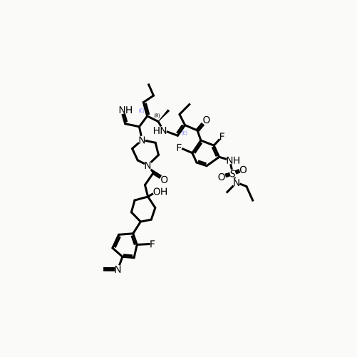 C=Nc1ccc(C2CCC(O)(CC(=O)N3CCN(C(C=N)/C(=C/CC)[C@@H](C)N/C=C(\CC)C(=O)c4c(F)ccc(NS(=O)(=O)N(C)CC)c4F)CC3)CC2)c(F)c1